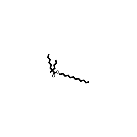 CCCCCCCCCCCCOC(=O)C(C)(CCCC)CCCCCC